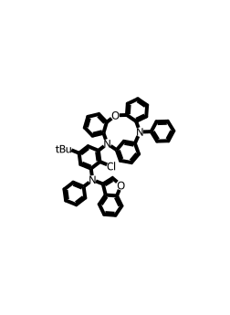 CC(C)(C)c1cc(N2c3cccc(c3)N(c3ccccc3)c3ccccc3Oc3ccccc32)c(Cl)c(N(c2ccccc2)c2coc3ccccc23)c1